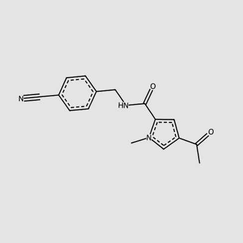 CC(=O)c1cc(C(=O)NCc2ccc(C#N)cc2)n(C)c1